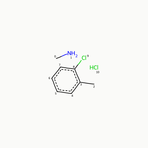 CN.Cc1ccccc1Cl.Cl